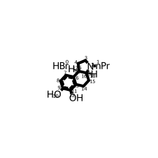 Br.CCCN1CC[C@@H]2c3ccc(O)c(O)c3CC[C@H]21